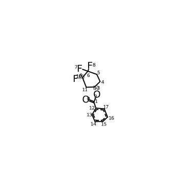 O=C(O[C@H]1CCC(F)(F)[C@@H](F)C1)c1ccccc1